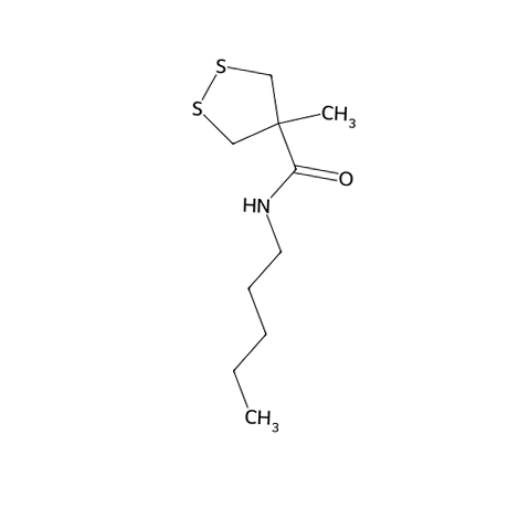 CCCCCNC(=O)C1(C)CSSC1